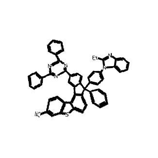 CCc1nc2ccccc2n1-c1ccc(C2(c3ccccc3)c3ccc(-c4nc(-c5ccccc5)nc(-c5ccccc5)n4)cc3-c3c2ccc2sc4cc(C#N)ccc4c32)cc1